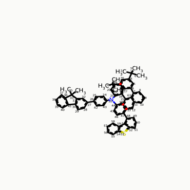 CC(C)(C)c1cc(-c2cccc3cccc(-c4ccccc4N(c4ccc(-c5ccc6c(c5)C(C)(C)c5ccccc5-6)cc4)c4ccc(-c5cccc6sc7ccccc7c56)cc4)c23)cc(C(C)(C)C)c1